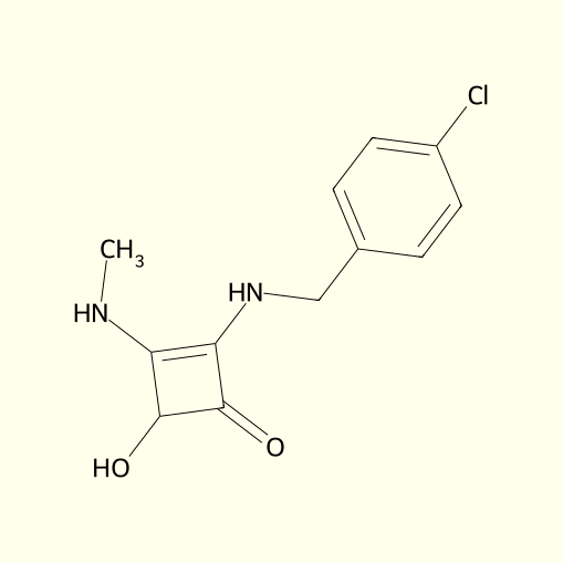 CNC1=C(NCc2ccc(Cl)cc2)C(=O)C1O